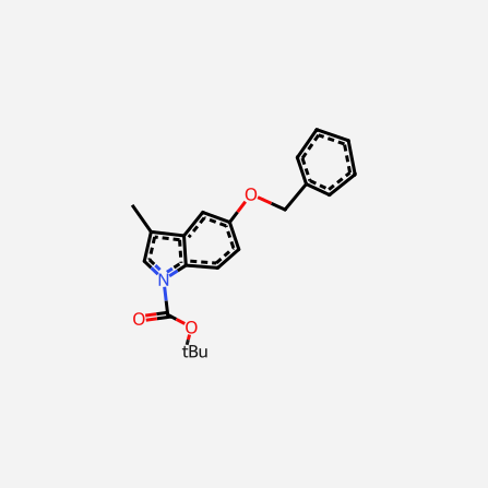 Cc1cn(C(=O)OC(C)(C)C)c2ccc(OCc3ccccc3)cc12